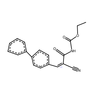 CCOC(=O)NC(=O)/C(C#N)=C\c1ccc(-c2ccccc2)cc1